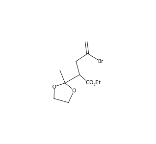 C=C(Br)CC(C(=O)OCC)C1(C)OCCO1